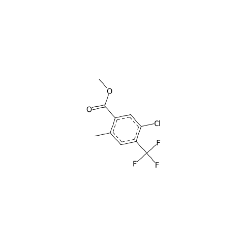 COC(=O)c1cc(Cl)c(C(F)(F)F)cc1C